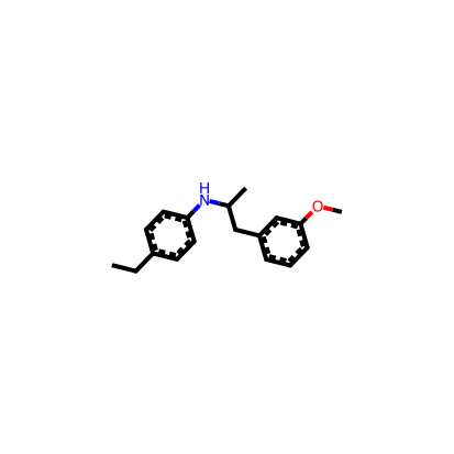 CCc1ccc(NC(C)Cc2cccc(OC)c2)cc1